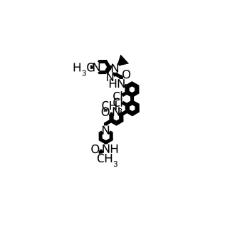 COc1nc(-c2cccc(-c3cccc(NC(=O)c4nc5c(n4C4CC4)CCN(C)C5)c3Cl)c2Cl)ccc1CN1CCC(NC(C)=O)CC1